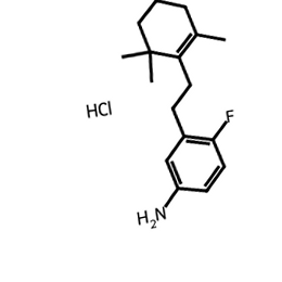 CC1=C(CCc2cc(N)ccc2F)C(C)(C)CCC1.Cl